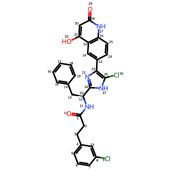 O=C(CCc1cccc(Cl)c1)N[C@@H](Cc1ccccc1)c1nc(-c2ccc3[nH]c(=O)cc(O)c3c2)c(Cl)[nH]1